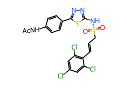 CC(=O)Nc1ccc(-c2nnc(NS(=O)(=O)CC=Cc3c(Cl)cc(Cl)cc3Cl)s2)cc1